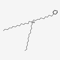 CCCCCCCCCCCCCC[SiH](CCCCCCCCCCCCCC)CCCCCCCCCCc1ccccc1